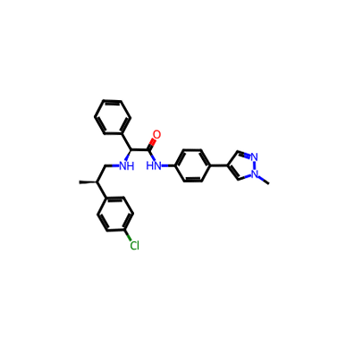 C[C@@H](CN[C@H](C(=O)Nc1ccc(-c2cnn(C)c2)cc1)c1ccccc1)c1ccc(Cl)cc1